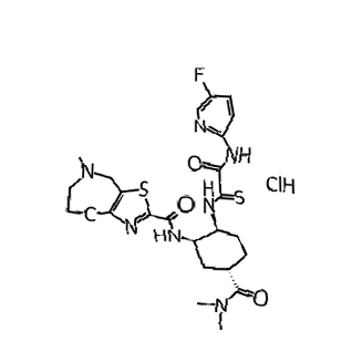 CN1CCCc2nc(C(=O)N[C@@H]3C[C@@H](C(=O)N(C)C)CC[C@@H]3NC(=S)C(=O)Nc3ccc(F)cn3)sc2C1.Cl